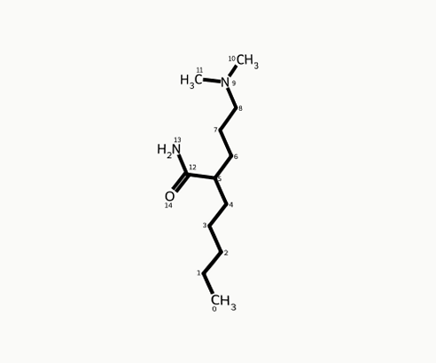 CCCCCC(CCCN(C)C)C(N)=O